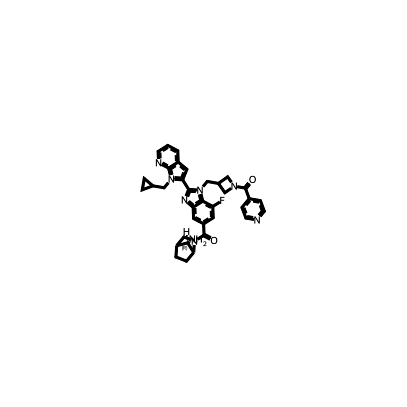 N[C@@H]1C2CCC1N(C(=O)c1cc(F)c3c(c1)nc(-c1cc4cccnc4n1CC1CC1)n3CC1CN(C(=O)c3ccncc3)C1)C2